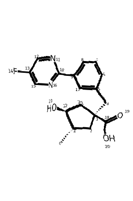 C[C@H]1C[C@](Cc2cccc(-c3ncc(F)cn3)c2)(C(=O)O)C[C@@H]1O